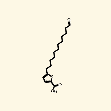 O=CCCCCCCCCCCCc1ccc(C(=O)O)s1